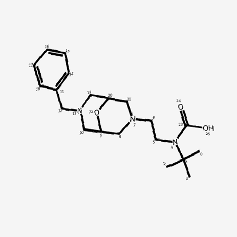 CC(C)(C)N(CCN1CC2CN(Cc3ccccc3)CC(C1)O2)C(=O)O